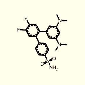 CN(C)c1cc(-c2cc(F)c(F)cc2-c2ccc(S(N)(=O)=O)cc2)cc(N(C)C)c1